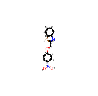 O=[N+]([O-])c1ccc(OCc2nc3ccccc3s2)cc1